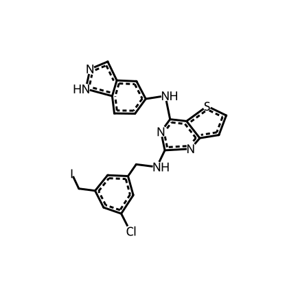 Clc1cc(CI)cc(CNc2nc(Nc3ccc4[nH]ncc4c3)c3sccc3n2)c1